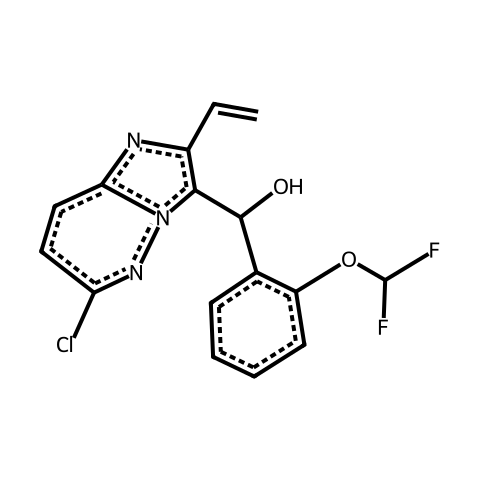 C=Cc1nc2ccc(Cl)nn2c1C(O)c1ccccc1OC(F)F